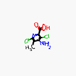 Cc1c(Cl)nc(C(=O)O)c(Cl)c1N